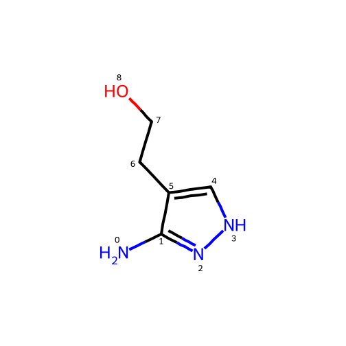 Nc1n[nH]cc1CCO